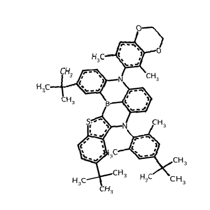 Cc1cc(C(C)(C)C)cc(C)c1N1c2cccc3c2B(c2cc(C(C)(C)C)ccc2N3c2c(C)cc3c(c2C)OCCO3)c2sc3ccc(C(C)(C)C)cc3c21